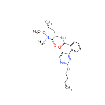 C=CCCOc1nccc(-c2ccccc2C(=O)N[C@@H](CC=C)C(=O)N(C)OC)n1